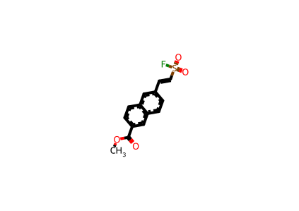 COC(=O)c1ccc2cc(C=CS(=O)(=O)F)ccc2c1